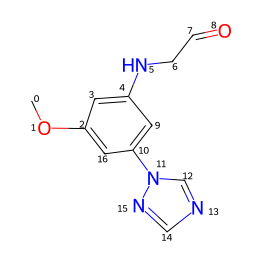 COc1cc(NCC=O)cc(-n2cncn2)c1